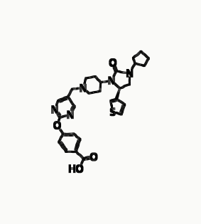 O=C(O)c1ccc(Oc2ncc(CN3CCC(N4C(=O)N(C5CCCC5)C[C@H]4c4ccsc4)CC3)cn2)cc1